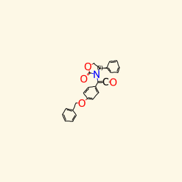 O=C=C(c1ccc(OCc2ccccc2)cc1)N1C(=O)OC[C@H]1c1ccccc1